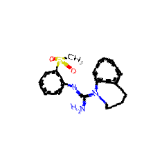 CS(=O)(=O)c1ccccc1N=C(N)N1CCCc2ccccc21